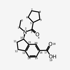 CCN(C(=O)C1CCCC1)[C@@H]1CCc2ccc(C(=O)O)cc21